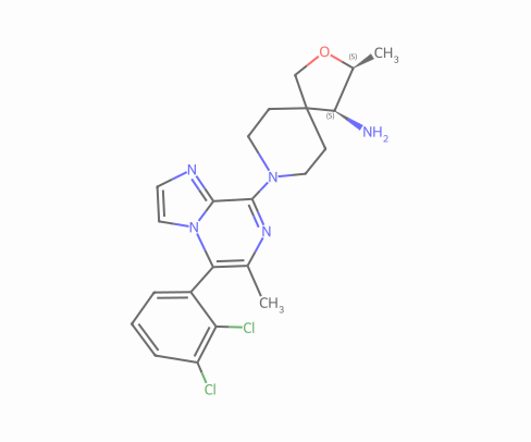 Cc1nc(N2CCC3(CC2)CO[C@@H](C)[C@H]3N)c2nccn2c1-c1cccc(Cl)c1Cl